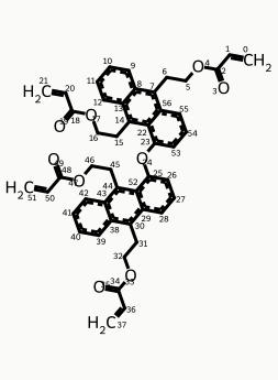 C=CC(=O)OCCc1c2ccccc2c(CCOC(=O)C=C)c2c(Oc3cccc4c(CCOC(=O)C=C)c5ccccc5c(CCOC(=O)C=C)c34)cccc12